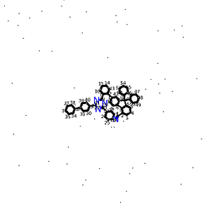 N#Cc1cccc2c1-c1ccc(-c3ccccc3-c3nc(-c4ccccc4)nc(-c4ccc(-c5ccccc5)cc4)n3)cc1C2(c1ccccc1)c1ccccc1